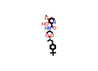 COc1ccnc(C(=O)N[C@H]2CO[C@H](C(C)Cc3ccc(C(C)(C)C)cc3)OC2)c1O